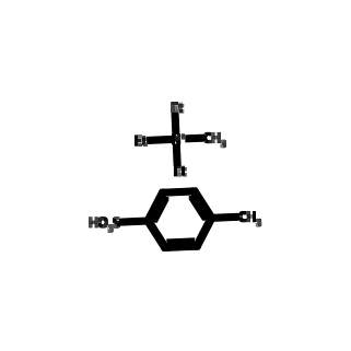 CC[N+](C)(CC)CC.Cc1ccc(S(=O)(=O)O)cc1